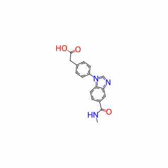 CNC(=O)c1ccc2c(c1)ncn2-c1ccc(CC(=O)O)cc1